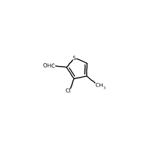 Cc1csc(C=O)c1Cl